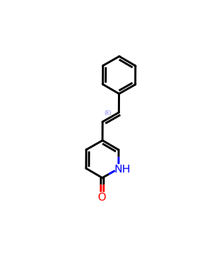 O=c1ccc(/C=C/c2ccccc2)c[nH]1